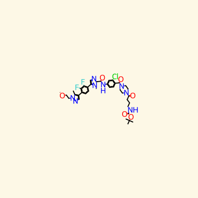 COCCn1ncc(-c2ccc(-c3cnc(C(=O)Nc4ccc(C(=O)N5CCN(C(=O)CCCNC(=O)OC(C)(C)C)CC5)c(Cl)c4)n3C)c(F)c2F)c1C